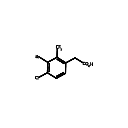 O=C(O)Cc1ccc(Cl)c(Br)c1C(F)(F)F